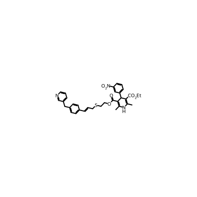 CCOC(=O)C1=C(C)NC(C)=C(C(=O)OCCSC/C=C/c2ccc(Cc3cccnc3)cc2)C1c1cccc([N+](=O)[O-])c1